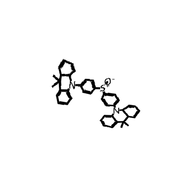 CC1(C)c2ccccc2N(c2ccc([S+]([O-])c3ccc(N4c5ccccc5C(C)(C)C5C=CC=CC54)cc3)cc2)C2C=CC=CC21